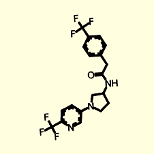 O=C(Cc1ccc(C(F)(F)F)cc1)NC1CCN(c2ccc(C(F)(F)F)nc2)C1